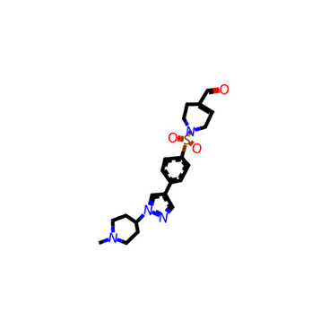 CN1CCC(n2cc(-c3ccc(S(=O)(=O)N4CC=C(C=O)CC4)cc3)cn2)CC1